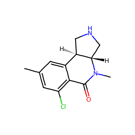 Cc1cc(Cl)c2c(c1)[C@H]1CNC[C@@H]1N(C)C2=O